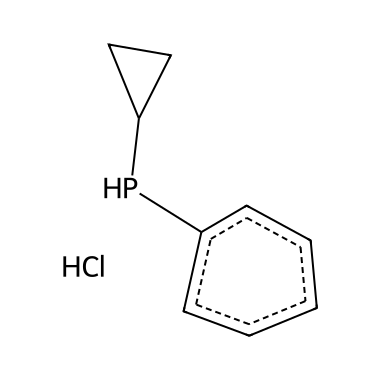 Cl.c1ccc(PC2CC2)cc1